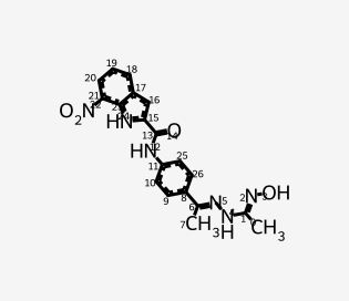 CC(=NO)NN=C(C)c1ccc(NC(=O)c2cc3cccc([N+](=O)[O-])c3[nH]2)cc1